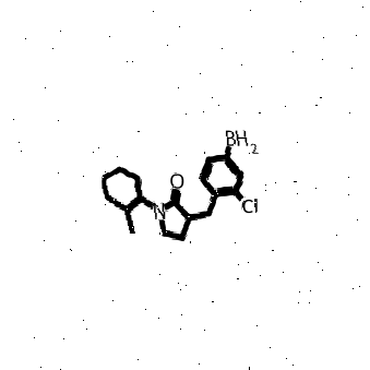 Bc1ccc(CC2CCN(C3CCCCC3C)C2=O)c(Cl)c1